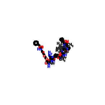 CC[C@H](C)[C@@H]([C@@H](CC(=O)N1CCC[C@@H]1[C@@H](OC)[C@H](C)C(=O)N[C@@H](C)[C@H](O)c1ccccc1)OC)N(C)C(=O)C(NC(=O)[C@H](C(C)C)N(C)C(=O)OCc1ccc(NC(=O)C(CCCN)NC(=O)[C@@H](NC(=O)CCOCCOCCOCCNC(=O)OCC2C3CCCCCCC32)C(C)C)cc1)C(C)C